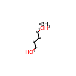 B.OCCCCO